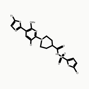 CCc1cnc(-c2cc(Cl)c(N3CCC(C(=O)NS(=O)(=O)c4ccc(Cl)s4)CC3)nc2OC)o1